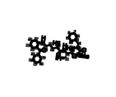 CNC(=O)[C@H](Cc1ccccc1)NC(=O)[C@H](CC(C)C)NC(=O)C(S)CCCNc1ccccc1C(=O)c1ccccc1